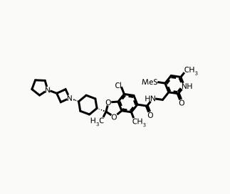 CSc1cc(C)[nH]c(=O)c1CNC(=O)c1cc(Cl)c2c(c1C)OC(C)([C@H]1CC[C@@H](N3CC(N4CCCC4)C3)CC1)O2